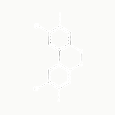 Cc1cc2c(cc1Cl)-c1cc(Cl)c(C)cc1SS2